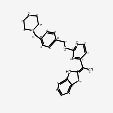 N#CC(=C1Nc2ccccc2S1)c1ccnc(OCc2ccc(CN3CC[N]CC3)cc2)n1